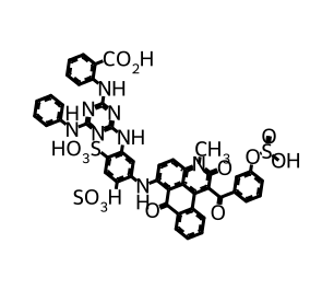 Cn1c(=O)c(C(=O)c2cccc(OS(=O)O)c2)c2c3c(c(Nc4cc(Nc5nc(Nc6ccccc6)nc(Nc6ccccc6C(=O)O)n5)c(S(=O)(=O)O)cc4S(=O)(=O)O)ccc31)C(=O)c1ccccc1-2